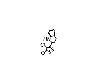 O=c1ssc(C2CCc3ccccc3N2)c1Cl